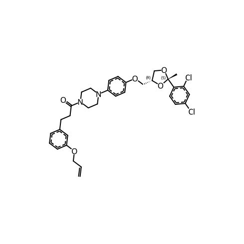 C=CCOc1cccc(CCC(=O)N2CCN(c3ccc(OC[C@@H]4CO[C@](C)(c5ccc(Cl)cc5Cl)O4)cc3)CC2)c1